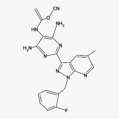 C=C(Nc1c(N)nc(-c2nn(Cc3ccccc3F)c3ncc(C)cc23)nc1N)OC#N